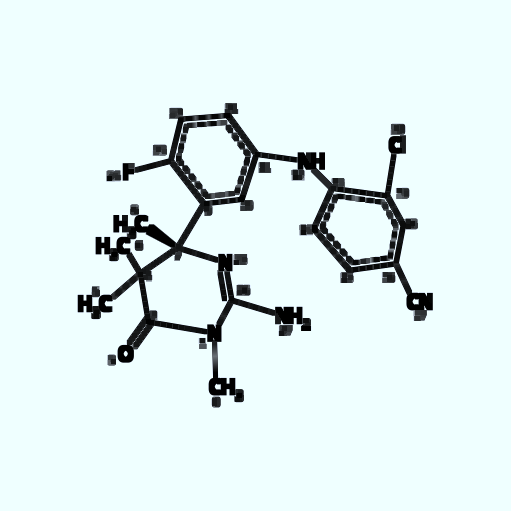 CN1C(=O)C(C)(C)[C@](C)(c2cc(Nc3ccc(C#N)cc3Cl)ccc2F)N=C1N